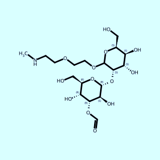 CNCCOCCOC1O[C@@H](CO)[C@@H](O)[C@H](O)[C@@H]1O[C@H]1O[C@H](CO)[C@@H](O)[C@@H](OC=O)[C@@H]1O